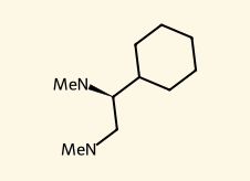 CNC[C@@H](NC)C1CCCCC1